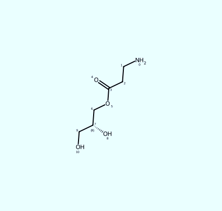 NCCC(=O)OC[C@H](O)CO